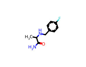 CC(NCc1ccc(F)cc1)C(N)=O